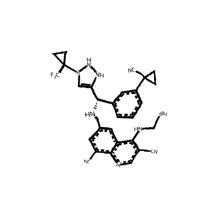 CC(C)(C)CNc1c(C#N)cnc2c(C#N)cc(N[C@H](C3=CN(C4(C(F)(F)F)CC4)NN3)c3cccc(C4(C#N)CC4)c3)cc12